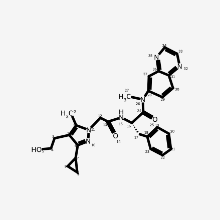 Cc1c(CCO)c(C2CC2)nn1CC(=O)N[C@@H](Cc1ccccc1)C(=O)N(C)c1ccc2nccnc2c1